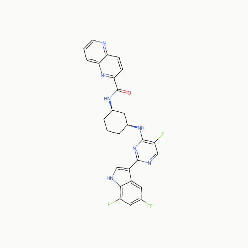 O=C(N[C@@H]1CCC[C@H](Nc2nc(-c3c[nH]c4c(F)cc(F)cc34)ncc2F)C1)c1ccc2ncccc2n1